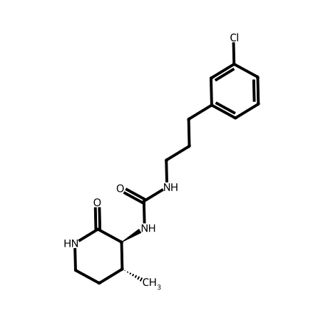 C[C@@H]1CCNC(=O)[C@H]1NC(=O)NCCCc1cccc(Cl)c1